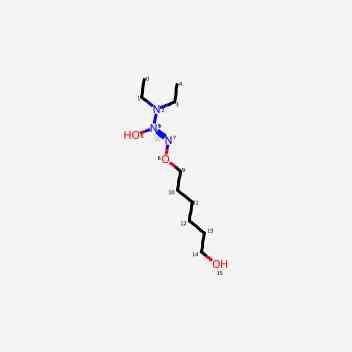 CCN(CC)/[N+](O)=N/OCCCCCCO